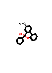 COc1ccc2c(c1)C(O)(c1ccccc1)Oc1ccccc1-2